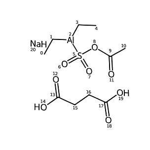 C[CH2][Al]([CH2]C)[S](=O)(=O)OC(C)=O.O=C(O)CCC(=O)O.[NaH]